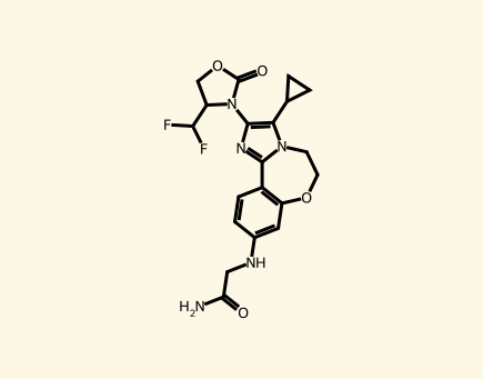 NC(=O)CNc1ccc2c(c1)OCCn1c-2nc(N2C(=O)OCC2C(F)F)c1C1CC1